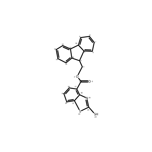 O=C(OCC1c2ccccc2-c2ccccc21)c1cccc2sc(S)nc12